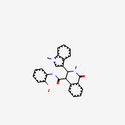 CCOc1ccccc1NC(=O)C1c2ccccc2C(=O)N(C)C1c1cn(C)c2ccccc12